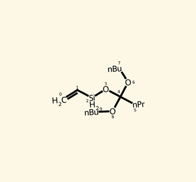 C=C[SiH2]OC(CCC)(OCCCC)OCCCC